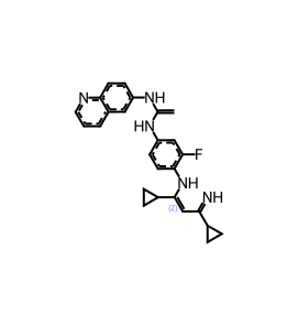 C=C(Nc1ccc(N/C(=C\C(=N)C2CC2)C2CC2)c(F)c1)Nc1ccc2ncccc2c1